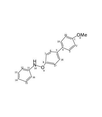 COc1ccc(-c2ccc(ONc3ccccc3)cc2)cc1